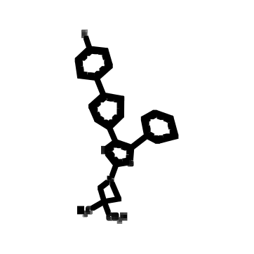 CC1(C(=O)O)CN(c2nc(-c3ccc(-c4ccc(F)cc4)cc3)c(-c3ccccc3)s2)C1